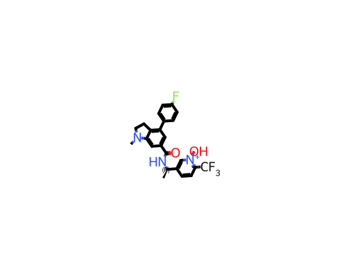 C[C@@H](NC(=O)c1cc(-c2ccc(F)cc2)c2c(c1)N(C)CC2)c1ccc(C(F)(F)F)[n+](O)c1